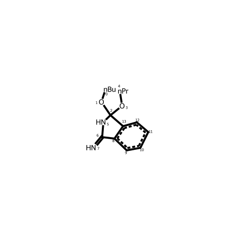 CCCCOC1(OCCC)NC(=N)c2ccccc21